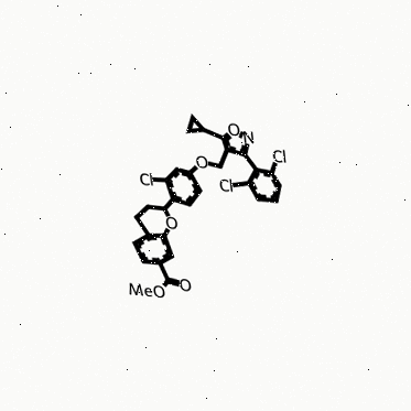 COC(=O)c1ccc2c(c1)OC(c1ccc(OCc3c(-c4c(Cl)cccc4Cl)noc3C3CC3)cc1Cl)CC2